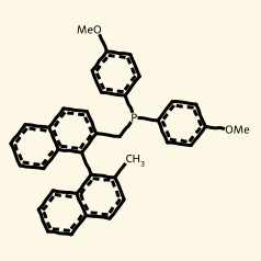 COc1ccc(P(Cc2ccc3ccccc3c2-c2c(C)ccc3ccccc23)c2ccc(OC)cc2)cc1